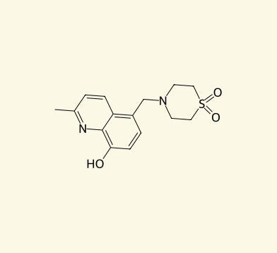 Cc1ccc2c(CN3CCS(=O)(=O)CC3)ccc(O)c2n1